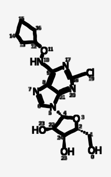 OC[C@H]1O[C@@H](n2cnc3c(NOC4CCCC4)nc(Cl)nc32)[C@H](O)[C@@H]1O